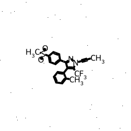 CC#Cn1nc(-c2ccc(S(C)(=O)=O)cc2)c(-c2ccccc2C)c1C(F)(F)F